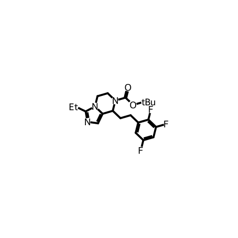 CCc1ncc2n1CCN(C(=O)OC(C)(C)C)C2CCc1cc(F)cc(F)c1F